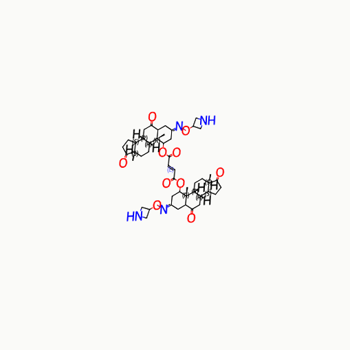 C[C@]12C(OC(=O)/C=C/C(=O)OC3CC(=NOC4CNC4)CC4C(=O)C[C@@H]5[C@@H](CC[C@]6(C)C(=O)CC[C@@H]56)[C@@]34C)CC(=NOC3CNC3)CC1C(=O)C[C@@H]1[C@H]2CC[C@]2(C)C(=O)CC[C@@H]12